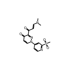 CN(C)/C=C/C(=O)c1nn(-c2ccnc(S(C)(=O)=O)c2)ccc1=O